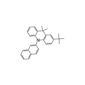 CC(C)(C)c1ccc2c(c1)C(C)(C)c1ccccc1N2c1ccc2ccccc2c1